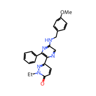 CCn1nc(-c2ncc(NCc3ccc(OC)cc3)nc2-c2ccccc2)ccc1=O